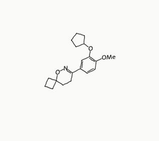 COc1ccc(C2=NOC3(CCC3)CC2)cc1OC1CCCC1